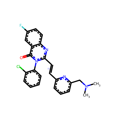 CN(C)Cc1cccc(/C=C/c2nc3ccc(F)cc3c(=O)n2-c2ccccc2Cl)n1